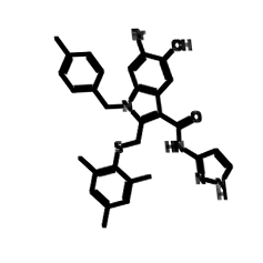 Cc1ccc(Cn2c(CSc3c(C)cc(C)cc3C)c(C(=O)Nc3cc[nH]n3)c3cc(O)c(Br)cc32)cc1